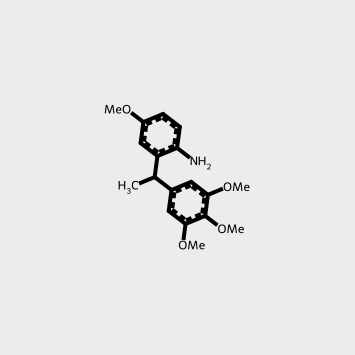 COc1ccc(N)c(C(C)c2cc(OC)c(OC)c(OC)c2)c1